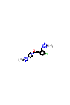 Cc1ncn(C2CCN(C(=O)C=Cc3ccc(Cl)cc3Cn3nnc(C)n3)CC2)n1